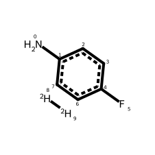 Nc1ccc(F)cc1.[2H][2H]